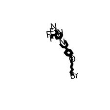 N#Cc1ncc(N2CCC(c3ccc(OCCCCCBr)cc3)CC2)cc1C(F)(F)F